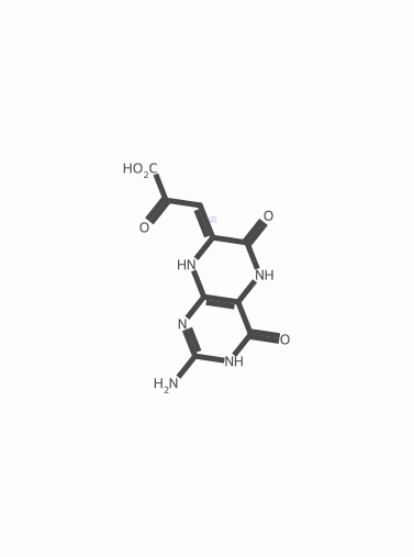 Nc1nc2c(c(=O)[nH]1)NC(=O)/C(=C/C(=O)C(=O)O)N2